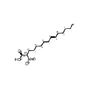 CCCCC/C=C/CCCCCCC(C(=O)O)[N+](=O)[O-]